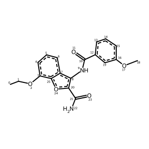 CCOc1cccc2c(NC(=O)c3cccc(OC)c3)c(C(N)=O)oc12